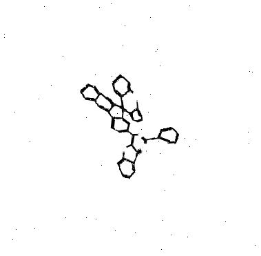 c1ccc(-c2nc(-c3ccc4c(c3)C3(c5ccccc5Oc5ccccc53)c3cc5ccccc5cc3-4)c3sc4ccccc4c3n2)cc1